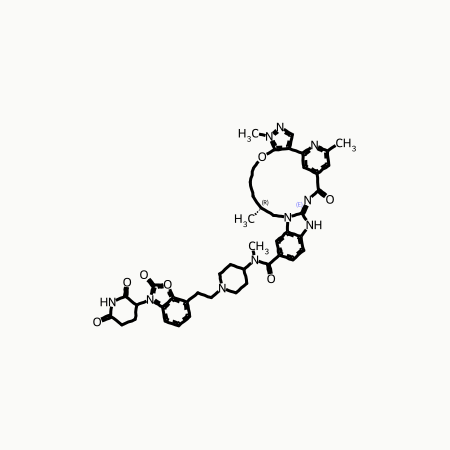 Cc1cc2cc(n1)-c1cnn(C)c1OCCC[C@@H](C)CN1/C(=N/C2=O)Nc2ccc(C(=O)N(C)C3CCN(CCc4cccc5c4oc(=O)n5C4CCC(=O)NC4=O)CC3)cc21